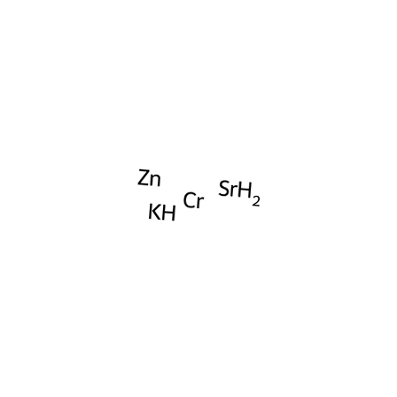 [Cr].[KH].[SrH2].[Zn]